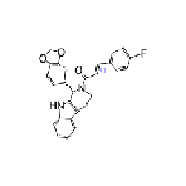 O=C(/C=C/c1ccc(F)cc1)N1CCc2c([nH]c3ccccc23)C1c1ccc2c(c1)OCO2